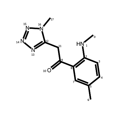 CNc1ccc(C)cc1C(=O)Cc1nnnn1C